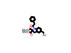 COC(=O)C1(C(=O)OC)Cc2cc(CC(C)=O)ccc2N1C(=O)Cc1ccccc1